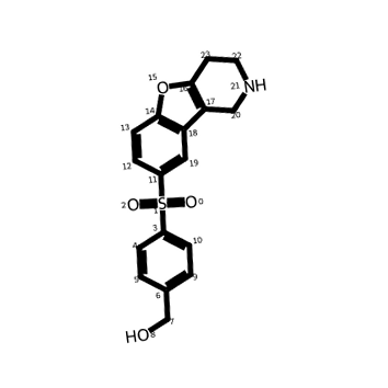 O=S(=O)(c1ccc(CO)cc1)c1ccc2oc3c(c2c1)CNCC3